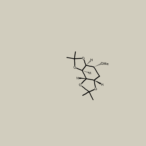 CO[C@@H]1C[C@@H]2OC(C)(C)O[C@@H]2[C@H]2OC(C)(C)O[C@H]21